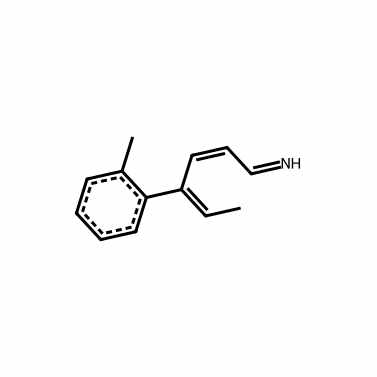 C/C=C(\C=C/C=N)c1ccccc1C